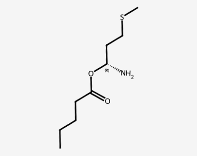 CCCCC(=O)O[C@@H](N)CCSC